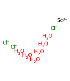 O.O.O.O.O.O.[Cl-].[Cl-].[Cl-].[Sc+3]